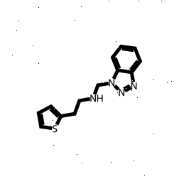 c1csc(CCNCn2nnc3ccccc32)c1